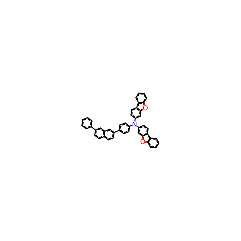 c1ccc(-c2ccc3ccc(-c4ccc(N(c5ccc6c(c5)oc5ccccc56)c5ccc6c(c5)oc5ccccc56)cc4)cc3c2)cc1